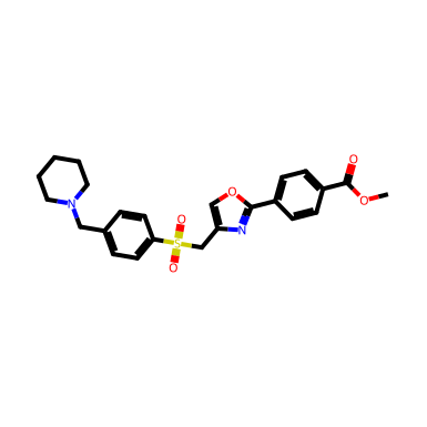 COC(=O)c1ccc(-c2nc(CS(=O)(=O)c3ccc(CN4CCCCC4)cc3)co2)cc1